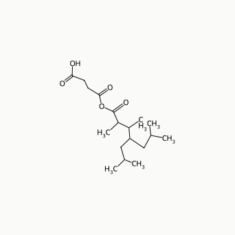 CC(C)CC(CC(C)C)C(C)C(C)C(=O)OC(=O)CCC(=O)O